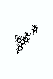 O=C(CCCc1cccnc1)N1CCC(C=C(c2ccc(F)cc2)c2ccc(F)cc2)CC1